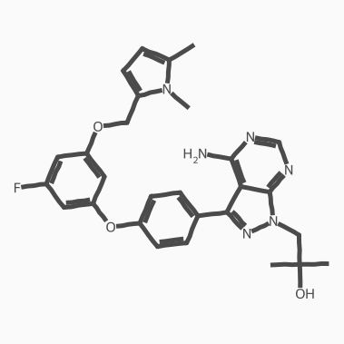 Cc1ccc(COc2cc(F)cc(Oc3ccc(-c4nn(CC(C)(C)O)c5ncnc(N)c45)cc3)c2)n1C